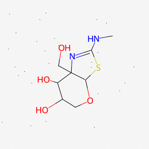 CNC1=NC2(CO)C(OCC(O)C2O)S1